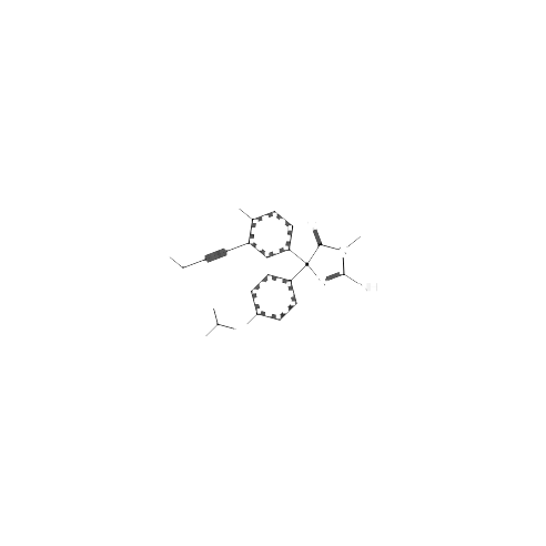 CN1C(=O)C(c2ccc(OC(F)F)cc2)(c2ccc(F)c(C#CCF)c2)N=C1N